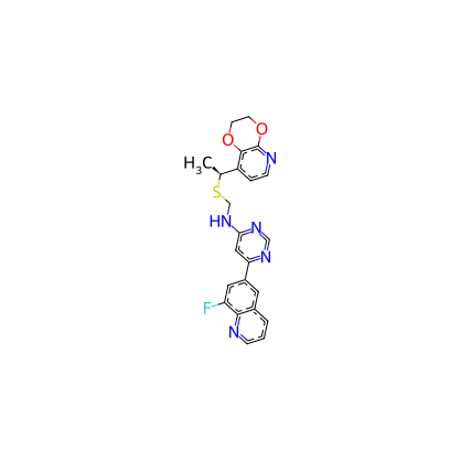 C[C@H](SCNc1cc(-c2cc(F)c3ncccc3c2)ncn1)c1ccnc2c1OCCO2